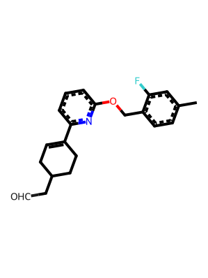 Cc1ccc(COc2cccc(C3=CCC(CC=O)CC3)n2)c(F)c1